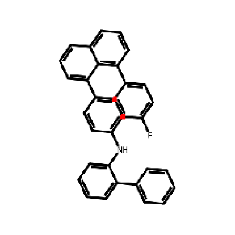 Fc1ccc(-c2cccc3cccc(-c4ccc(Nc5ccccc5-c5ccccc5)cc4)c23)cc1